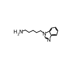 NCCCCCn1cnc2ccccc21